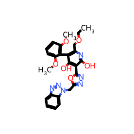 CCOCc1nc(O)c(-c2nnc(Cn3nnc4ccccc43)o2)c(O)c1-c1c(OC)cccc1OC